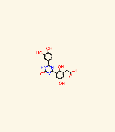 O=C(O)Cc1cc(O)cc(-c2nc(-c3ccc(O)c(O)c3)[nH]c(=O)n2)c1O